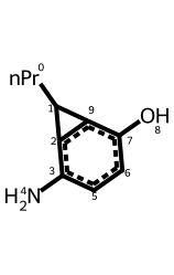 CCCC1c2c(N)ccc(O)c21